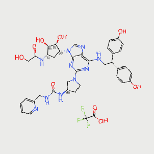 O=C(CO)N[C@H]1C[C@@H](n2cnc3c(NCC(c4ccc(O)cc4)c4ccc(O)cc4)nc(N4CC[C@@H](NC(=O)NCc5ccccn5)C4)nc32)[C@H](O)[C@@H]1O.O=C(O)C(F)(F)F